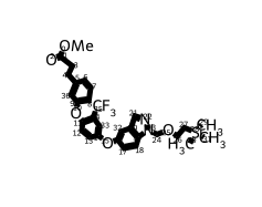 COC(=O)CCc1cccc(Oc2ccc(Oc3ccc4c(cnn4COCC[Si](C)(C)C)c3)cc2C(F)(F)F)c1